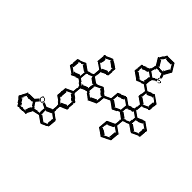 c1ccc(-c2c3ccccc3c(-c3ccc(-c4cccc5c4oc4ccccc45)cc3)c3ccc(-c4ccc5c(-c6cccc(-c7cccc8c7sc7ccccc78)c6)c6ccccc6c(-c6ccccc6)c5c4)cc23)cc1